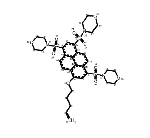 C=CCCCOc1cc(S(=O)(=O)N2CCOCC2)c2ccc3c(S(=O)(=O)N4CCOCC4)cc(S(=O)(=O)N4CCOCC4)c4ccc1c2c43